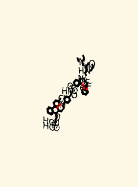 CCN(CC)C[C@H]1COCCN1CC[C@H](CSc1ccccc1)Nc1ccc(S(=O)(=O)NC(=O)c2ccc(N3CCC(C(OCOP(=O)(O)O)c4ccccc4-c4ccc(Cl)cc4)CC3)cc2)cc1S(=O)(=O)C(F)(F)F